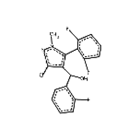 Cn1nc(Cl)c(C(O)c2ccccc2F)c1-c1c(F)cccc1F